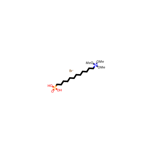 CO[N+](CCCCCCCCCCCCP(=O)(O)O)(OC)OC.[Br-]